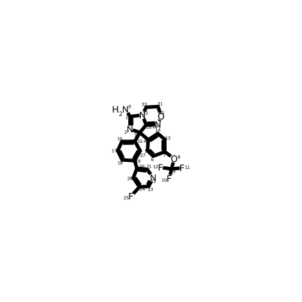 NC1=NC(c2ccc(OC(F)(F)F)cc2)(c2cccc(-c3cncc(F)c3)c2)C2=NOCCN12